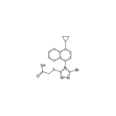 O=C(S)CSc1nnc(Br)n1-c1ccc(C2CC2)c2ccccc12